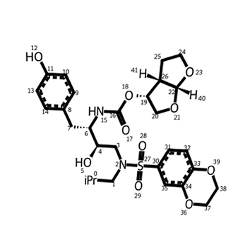 CC(C)CN(C[C@@H](O)[C@H](Cc1ccc(O)cc1)NC(=O)O[C@H]1CO[C@H]2OCC[C@H]21)S(=O)(=O)c1ccc2c(c1)OCCO2